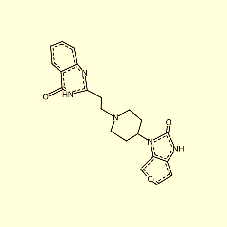 O=c1[nH]c(CCN2CCC(n3c(=O)[nH]c4ccccc43)CC2)nc2ccccc12